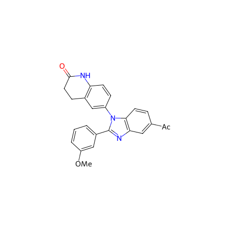 COc1cccc(-c2nc3cc(C(C)=O)ccc3n2-c2ccc3c(c2)CCC(=O)N3)c1